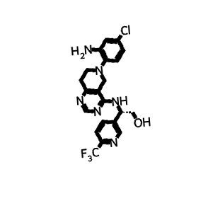 Nc1cc(Cl)ccc1N1CCc2ncnc(N[C@H](CO)c3ccc(C(F)(F)F)nc3)c2C1